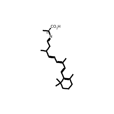 CC(C=CC1=C(C)CCCC1(C)C)=CC=CC(C)CC=N[C@@H](C)C(=O)O